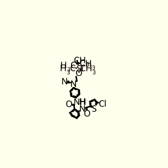 CC(C)(C)[Si](C)(C)OCCN(C#N)c1ccc(NC(=O)c2ccccc2NC(=O)c2ccc(Cl)s2)cc1